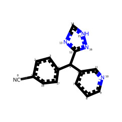 N#Cc1ccc(C(c2cccnc2)c2nc[nH]n2)cc1